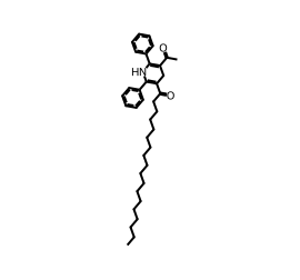 CCCCCCCCCCCCCCCCCC(=O)C1=C(c2ccccc2)NC(c2ccccc2)=C(C(C)=O)C1